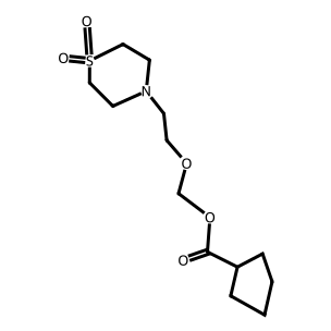 O=C(OCOCCN1CCS(=O)(=O)CC1)C1CCCC1